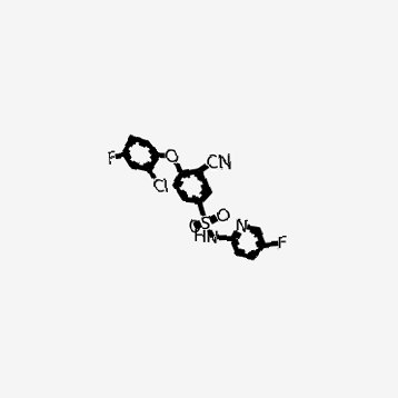 N#Cc1cc(S(=O)(=O)Nc2ccc(F)cn2)ccc1Oc1ccc(F)cc1Cl